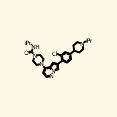 CC(C)NC(=O)N1CCN(c2ccnn3cc(-c4ccc(C5CCN(C(C)C)CC5)cc4Cl)cc23)CC1